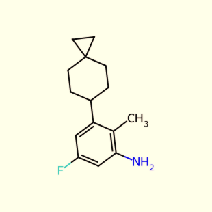 Cc1c(N)cc(F)cc1C1CCC2(CC1)CC2